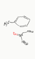 CCC[CH2][Sn](=[O])[CH2]CCC.Cc1ccccc1